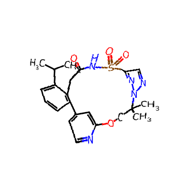 CC(C)c1cccc2c1CC(=O)NS(=O)(=O)c1cnn(n1)C(C)(C)COc1cc-2ccn1